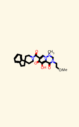 COCCN1CN(C)n2cc(C(=O)N3CCC4(CCc5ccccc54)CC3)c(=O)c(O)c2C1=O